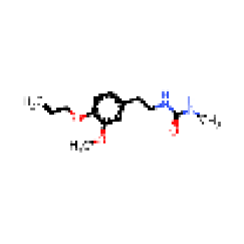 C=CCOc1ccc(CCNC(=O)NC)cc1OC